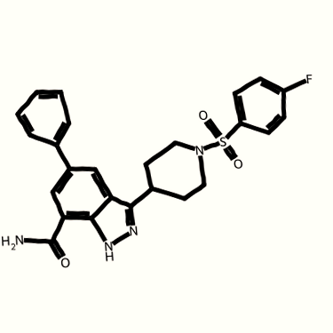 NC(=O)c1cc(-c2ccccc2)cc2c(C3CCN(S(=O)(=O)c4ccc(F)cc4)CC3)n[nH]c12